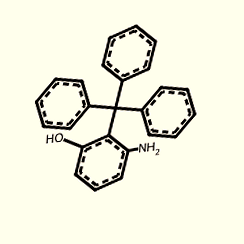 Nc1cccc(O)c1C(c1ccccc1)(c1ccccc1)c1ccccc1